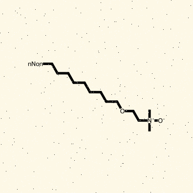 CCCCCCCCCCCCCCCCCCOCC[N+](C)(C)[O-]